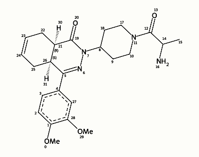 COc1ccc(C2=NN(C3CCN(C(=O)C(C)N)CC3)C(=O)[C@@H]3CC=CC[C@H]23)cc1OC